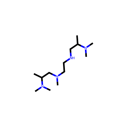 CC(CNCCN(C)CC(C)N(C)C)N(C)C